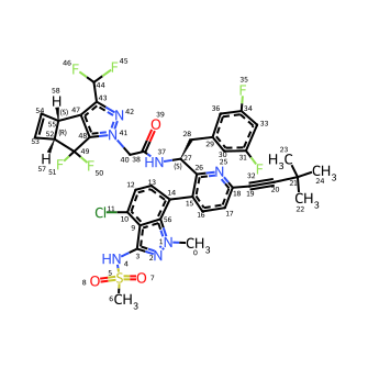 Cn1nc(NS(C)(=O)=O)c2c(Cl)ccc(-c3ccc(C#CC(C)(C)C)nc3[C@H](Cc3cc(F)cc(F)c3)NC(=O)Cn3nc(C(F)F)c4c3C(F)(F)[C@@H]3C=C[C@H]43)c21